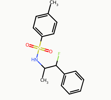 Cc1ccc(S(=O)(=O)NC(C)C(F)c2ccccc2)cc1